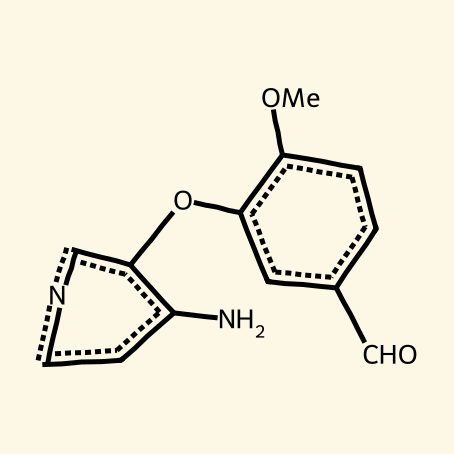 COc1ccc(C=O)cc1Oc1cnccc1N